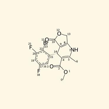 COC(=O)C1=C(C)NC2=C(C(=O)OC2)[C@H]1c1cc(F)cc(F)c1Br